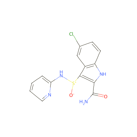 NC(=O)c1[nH]c2ccc(Cl)cc2c1[S+]([O-])Nc1ccccn1